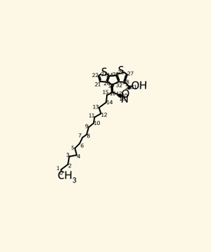 CCCCCCCCCCCCCCCCC(C#N)=C1c2ccsc2-c2scc(C(=O)O)c21